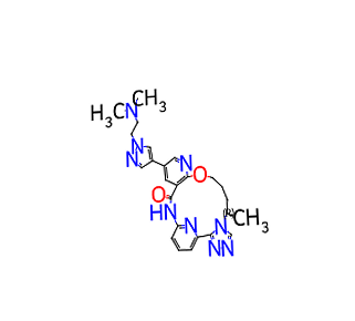 C[C@@H]1CCCOc2ncc(-c3cnn(CCN(C)C)c3)cc2C(=O)Nc2cccc(n2)-c2nncn21